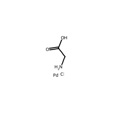 NCC(=O)O.[C].[Pd]